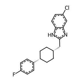 Fc1ccc([C@H]2CC[C@@H](Cc3nc4cc(Cl)ccc4[nH]3)CC2)cc1